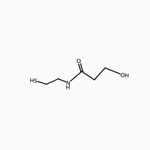 O=C(CCO)NCCS